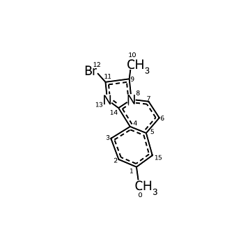 Cc1ccc2c(ccn3c(C)c(Br)nc23)c1